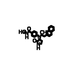 CC(Cc1ccc2ccccc2c1)N(c1ccc(C(=O)NO)cc1)C1CCNC1=O